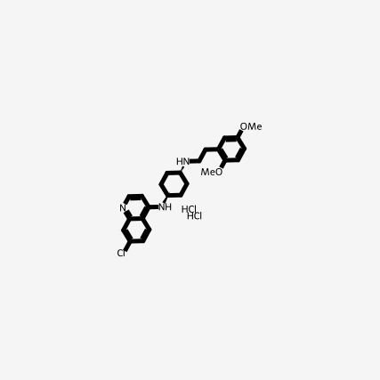 COc1ccc(OC)c(CCN[C@H]2CC[C@H](Nc3ccnc4cc(Cl)ccc34)CC2)c1.Cl.Cl